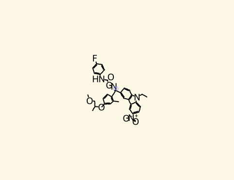 CCn1c2ccc(/C(=N/OC(=O)Nc3ccc(F)cc3)c3ccc(OC(C)COC)cc3C)cc2c2cc([N+](=O)[O-])ccc21